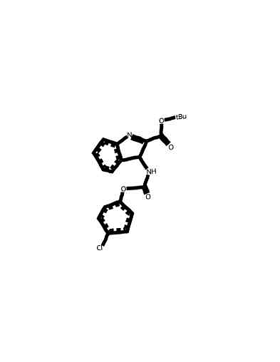 CC(C)(C)OC(=O)C1=Nc2ccccc2C1NC(=O)Oc1ccc(Cl)cc1